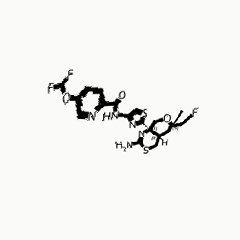 C[C@@]1(CF)C[C@H]2CSC(N)=N[C@@]2(c2nc(NC(=O)c3ccc(OC(F)F)cn3)cs2)CO1